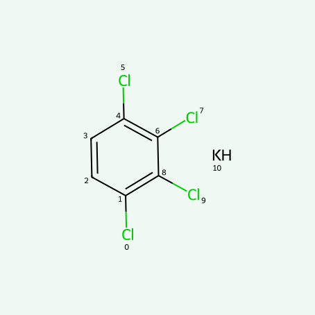 Clc1ccc(Cl)c(Cl)c1Cl.[KH]